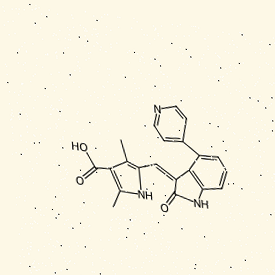 Cc1[nH]c(/C=C2\C(=O)Nc3cccc(-c4ccncc4)c32)c(C)c1C(=O)O